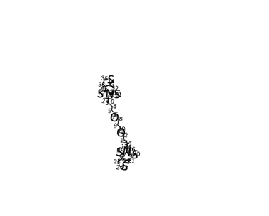 CC(C)(CCCCOCCCOCCCC(C)(C)N1C(=S)C=C2SCCC2C1=S)N1C(=S)C=C2SCCC2C1=S